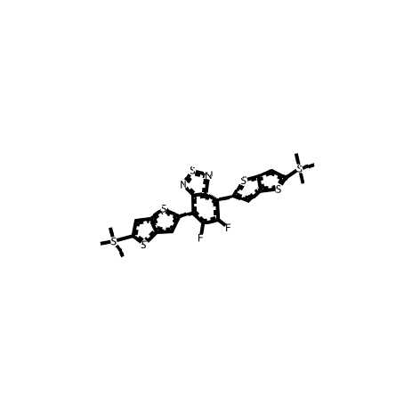 CS(C)(C)c1cc2sc(-c3c(F)c(F)c(-c4cc5sc(S(C)(C)C)cc5s4)c4nsnc34)cc2s1